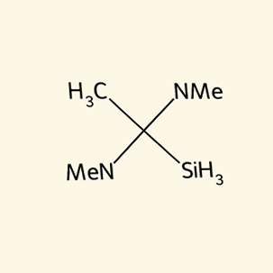 CNC(C)([SiH3])NC